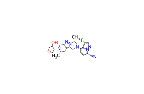 C[C@@H]1CN(c2ccc(C#N)n3ncc(F)c23)Cc2c3c(nn21)CN([C@@H]1COC[C@H]1O)[C@@H](C)C3